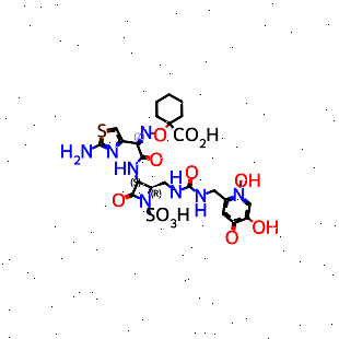 Nc1nc(/C(=N/OC2(C(=O)O)CCCCC2)C(=O)N[C@@H]2C(=O)N(S(=O)(=O)O)[C@@H]2CNC(=O)NCc2cc(=O)c(O)cn2O)cs1